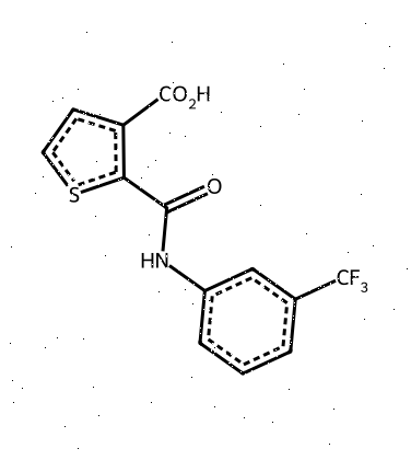 O=C(O)c1ccsc1C(=O)Nc1cccc(C(F)(F)F)c1